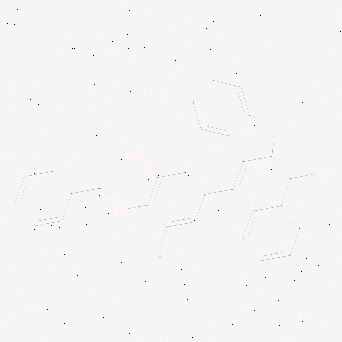 Oc1cc(-c2c3ccccc3c(Br)c3sc4ccccc4c23)cc(Br)c1OCc1ccccc1